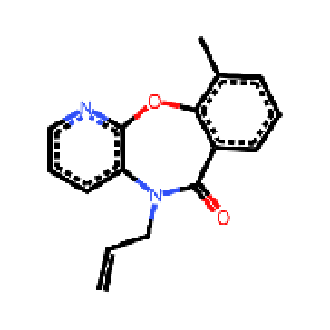 C=CCN1C(=O)c2cccc(C)c2Oc2ncccc21